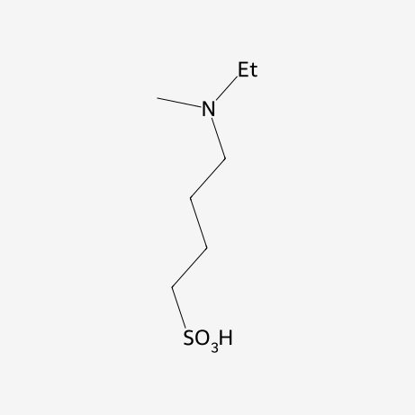 [CH2]CN(C)CCCCS(=O)(=O)O